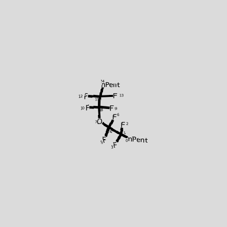 CCCCCC(F)(F)C(F)(F)OC(F)(F)C(F)(F)CCCCC